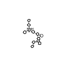 c1ccc(C2=NC(c3ccc(-c4ccc5c(c4)-c4cc6c(cc4C54CCCCC4)c4ccccc4n6-c4cccc(-c5ccccc5)c4)cc3)NC(c3ccc(-c4ccccc4)cc3)=N2)cc1